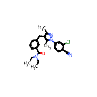 CCN(CC)C(=O)c1cccc(Cc2c(C)nn(-c3ccc(C#N)c(Cl)c3)c2C)c1